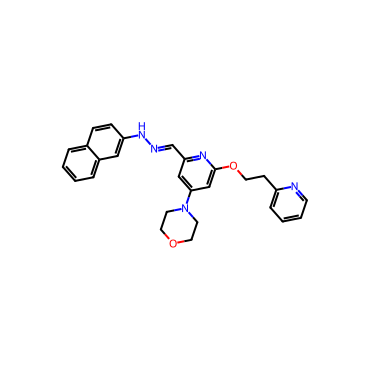 C(=NNc1ccc2ccccc2c1)c1cc(N2CCOCC2)cc(OCCc2ccccn2)n1